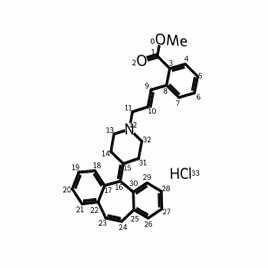 COC(=O)c1ccccc1C=CCN1CCC(=C2c3ccccc3C=Cc3ccccc32)CC1.Cl